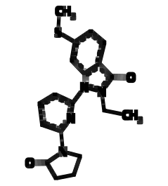 CCn1c(=O)c2ccc(SC)cc2n1-c1cccc(N2CCCC2=O)n1